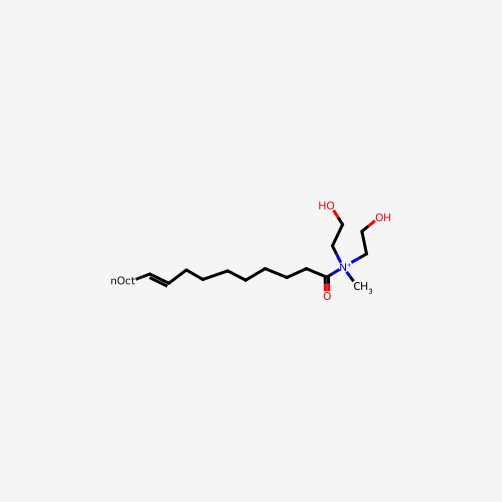 CCCCCCCCC=CCCCCCCCC(=O)[N+](C)(CCO)CCO